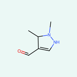 CC1C(C=O)=CNN1C